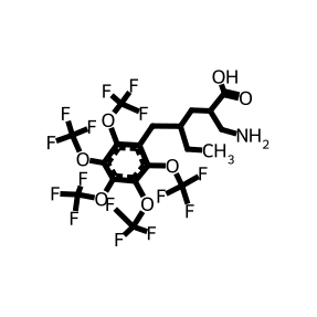 CCC(Cc1c(OC(F)(F)F)c(OC(F)(F)F)c(OC(F)(F)F)c(OC(F)(F)F)c1OC(F)(F)F)CC(CN)C(=O)O